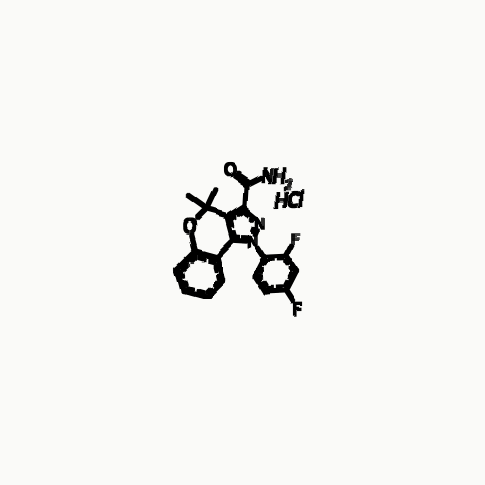 CC1(C)Oc2ccccc2-c2c1c(C(N)=O)nn2-c1ccc(F)cc1F.Cl